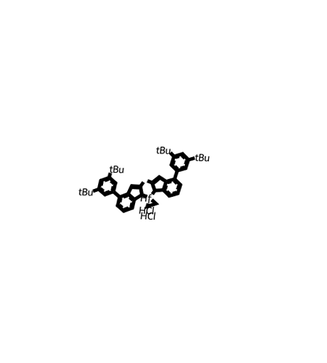 CC1=Cc2c(-c3cc(C(C)(C)C)cc(C(C)(C)C)c3)cccc2[CH]1[Hf]1([CH]2C(C)=Cc3c(-c4cc(C(C)(C)C)cc(C(C)(C)C)c4)cccc32)[CH2][CH2]1.Cl.Cl